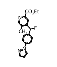 CCOC(=O)c1cc(C(F)c2ccc(-n3cccn3)cc2)c(C)cn1